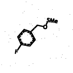 CSOCc1ccc(F)cc1